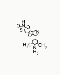 Cc1cc(-c2cncc3cc(C=C4SC(=O)NC4=O)oc23)cc(C)c1N